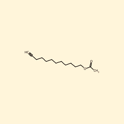 C#CCCCCCCCCCCOC(C)=O